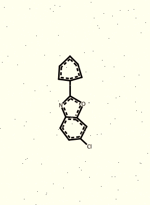 Clc1ccc2nc(-c3ccccc3)oc2c1